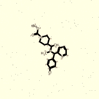 CC(C1CCN(C(=O)OC(C)(C)C)CC1)N(C)C(c1ccc(Cl)cc1)c1ccccn1